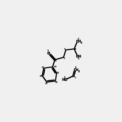 C=NO.CC(O)CCC(=O)c1ccccc1